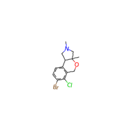 CN1CC2c3ccc(Br)c(Cl)c3COC2(C)C1